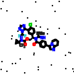 CNC(=N)N(C(=O)c1ccc(-c2cnc3ccccn23)cc1)[C@H](COC(=O)NC1(C(F)(F)F)CC1)c1ccc(Cl)c(-c2ncnn2C(F)F)c1